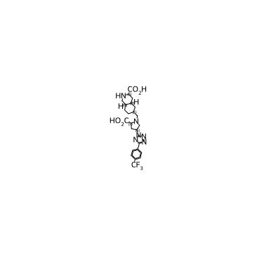 O=C(O)[C@@H]1C[C@H]2C[C@@H](CN3C[C@@H](n4nnc(-c5ccc(C(F)(F)F)cc5)n4)C[C@H]3C(=O)O)CC[C@H]2CN1